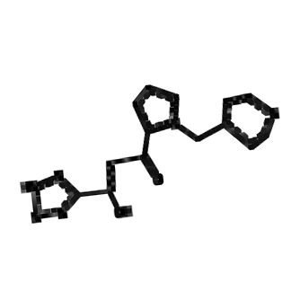 O=C(C=C(O)c1nn[nH]n1)c1cccn1Cc1ccncc1